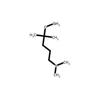 CN(C)CCCC(C)(C)O[SiH3]